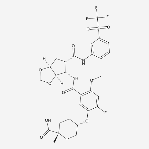 COc1cc(F)c(O[C@H]2CC[C@@](C)(C(=O)O)CC2)cc1C(=O)N[C@@H]1[C@H]2OCO[C@H]2C[C@@H]1C(=O)Nc1cccc(S(=O)(=O)C(F)(F)F)c1